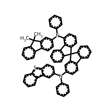 CC1(C)c2ccccc2-c2ccc(N(c3ccccc3)c3cccc4c3-c3ccccc3C43c4ccccc4-c4ccc(N(c5ccccc5)c5ccc6sc7ccccc7c6c5)cc43)cc21